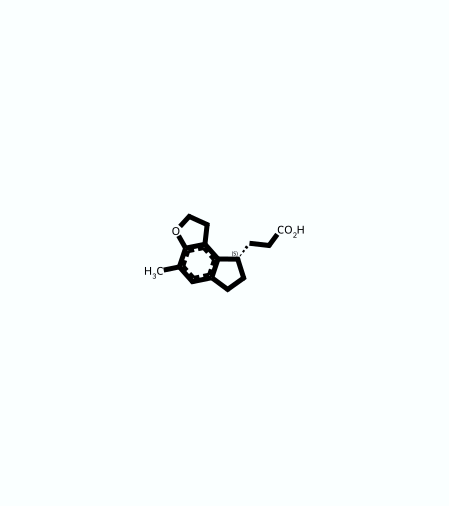 Cc1cc2c(c3c1OCC3)[C@H](CCC(=O)O)CC2